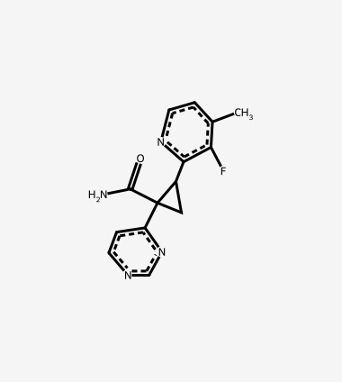 Cc1ccnc(C2CC2(C(N)=O)c2ccncn2)c1F